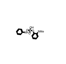 CNc1ccccc1OP(=O)(O)ONc1ccccc1